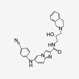 N#Cc1ccc(Nc2ccc3nc(C(=O)NC[C@H](O)CN4CCc5ccccc5C4)cn3c2)cc1